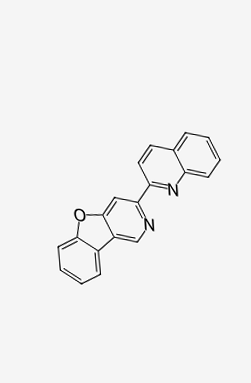 c1ccc2nc(-c3cc4oc5ccccc5c4cn3)ccc2c1